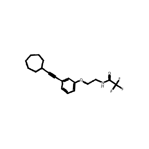 O=C(NCCOc1cccc(C#CC2CCCCCC2)c1)C(F)(F)F